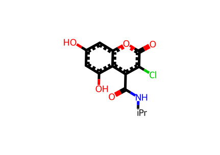 CC(C)NC(=O)c1c(Cl)c(=O)oc2cc(O)cc(O)c12